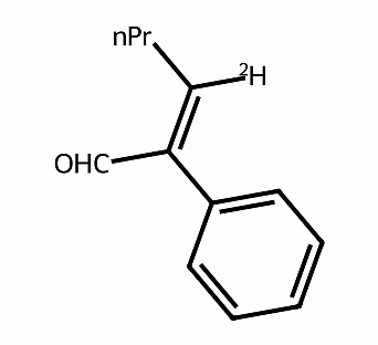 [2H]/C(CCC)=C(/C=O)c1ccccc1